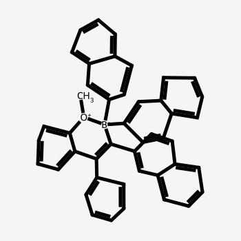 C[O+]1c2ccccc2C(c2ccccc2)=C(c2ccc3ccccc3c2)[B-]1(c1ccc2ccccc2c1)c1ccc2ccccc2c1